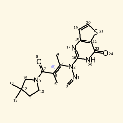 C=NN(/C(C)=C(\C)C(=O)N1CCC(C)(C)C1)c1nc2ccsc2c(=O)[nH]1